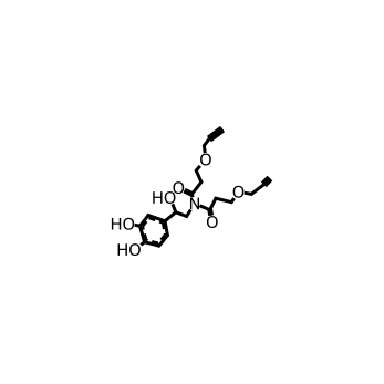 C#CCOCCC(=O)N(CC(O)c1ccc(O)c(O)c1)C(=O)CCOCC#C